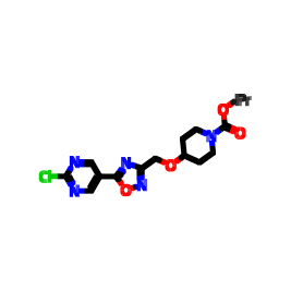 CC(C)OC(=O)N1CCC(OCc2noc(-c3cnc(Cl)nc3)n2)CC1